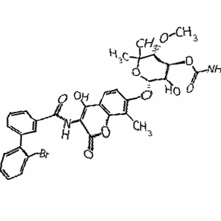 CO[C@@H]1[C@@H](OC(N)=O)[C@@H](O)[C@H](Oc2ccc3c(O)c(NC(=O)c4cccc(-c5ccccc5Br)c4)c(=O)oc3c2C)OC1(C)C